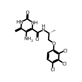 C=C1NC(=O)NC(C(=O)N[C@H](C)COc2ccc(Cl)c(Cl)c2Cl)=C1N